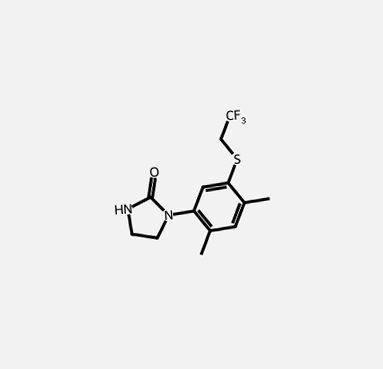 Cc1cc(C)c(N2CCNC2=O)cc1SCC(F)(F)F